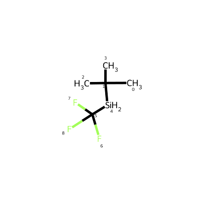 CC(C)(C)[SiH2]C(F)(F)F